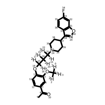 [2H]C([2H])([2H])Oc1cc(C(C)=O)ccc1OC([2H])([2H])C([2H])([2H])C([2H])([2H])N1CCC(c2noc3cc(F)ccc23)CC1